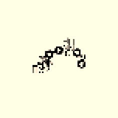 CCCC(C(=O)O)N1C(=O)c2cc(-c3ccc(NC(=O)Nc4ccc(Oc5ccccc5)cc4)cc3)ccc2[C@@H]1C